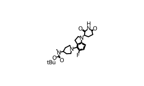 CN(C(=O)OC(C)(C)C)C1CCN(c2c(F)ccc3c2CCN3[C@@H]2CCC(=O)NC2=O)CC1